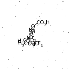 CC1(C)Cc2nc(C3CCN(c4ncc(OCCCCC(=O)O)cn4)CC3)c(C(F)c3ccc(C(F)(F)F)cc3)c(C3CCC(F)(F)CC3)c2C(O)C1